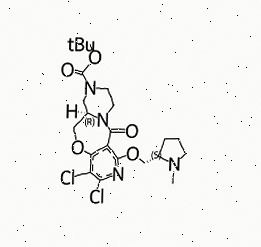 CN1CCC[C@H]1COc1nc(Cl)c(Cl)c2c1C(=O)N1CCN(C(=O)OC(C)(C)C)C[C@@H]1CO2